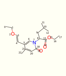 CCO/C=C/c1cn(C(CC(C)C)C(=O)OCC)c(=O)cc1C